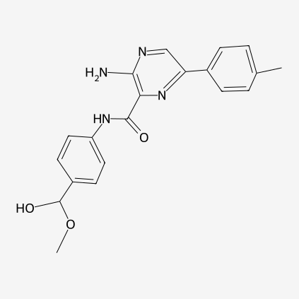 COC(O)c1ccc(NC(=O)c2nc(-c3ccc(C)cc3)cnc2N)cc1